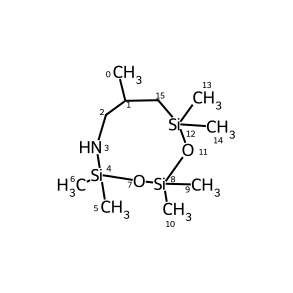 CC1CN[Si](C)(C)O[Si](C)(C)O[Si](C)(C)C1